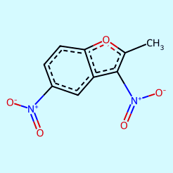 Cc1oc2ccc([N+](=O)[O-])cc2c1[N+](=O)[O-]